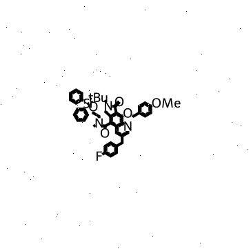 COc1ccc(COc2c3c(c(C(=O)N(C)CCO[Si](c4ccccc4)(c4ccccc4)C(C)(C)C)c4cc(Cc5ccc(F)cc5)cnc24)CN(C)C3=O)cc1